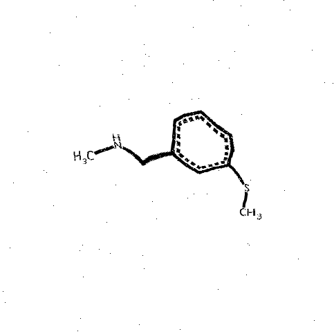 CNCc1cccc(SC)c1